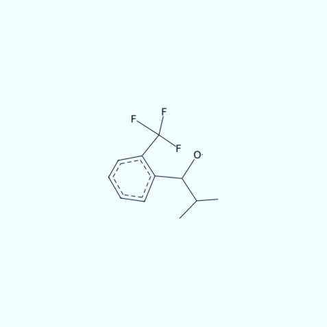 CC(C)C([O])c1ccccc1C(F)(F)F